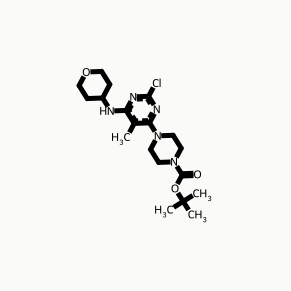 Cc1c(NC2CCOCC2)nc(Cl)nc1N1CCN(C(=O)OC(C)(C)C)CC1